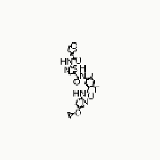 Cc1cc(F)c(C(=O)Nc2ccc(OC3CC3)cn2)cc1NC(=O)c1cnc(NC(=O)[C@H]2CCOC2)s1